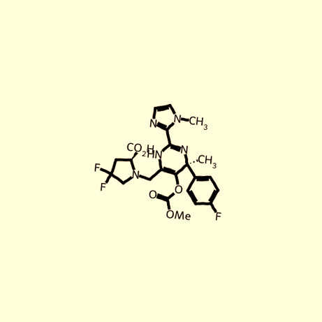 COC(=O)OC1=C(CN2CC(F)(F)C[C@H]2C(=O)O)NC(c2nccn2C)=N[C@@]1(C)c1ccc(F)cc1